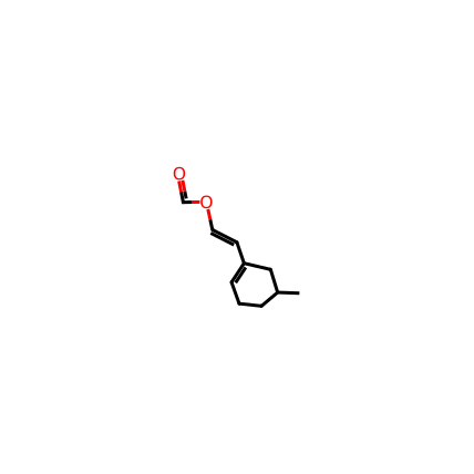 CC1CCC=C(/C=C/OC=O)C1